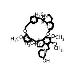 COc1ccc2cc1OCc1ccc(cc1)C[C@H]1c3cc(ccc3CCN1C)Oc1c(OC)c(OC)c(CN3CCCC(O)C3)c3c1[C@H](C2)N(C)CC3